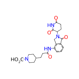 O=C1CCC(N2Cc3c(NC(=O)CCC4CCN(C(=O)O)CC4)cccc3C2=O)C(=O)N1